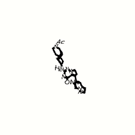 COc1nc(NC2CC3(CCN(C(C)=O)CC3)C2)nn2ccc(-c3ccn4nccc4c3)c12